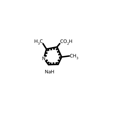 Cc1ccnc(C)c1C(=O)O.[NaH]